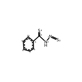 S=NNC(=S)c1ccccc1